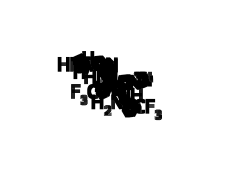 Cc1c([C@H](Nc2nncc3ccc(N4C[C@@H]5NCC[C@@H]54)cc23)Nc2nnc(N[C@H](N)c3cccc(C(F)(F)F)c3C)c3cc(N4CCN(C)CC4)ccc23)cccc1C(F)(F)F